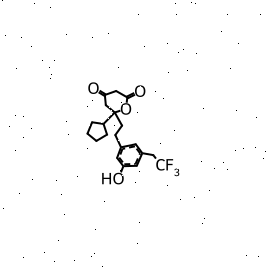 O=C1CC(=O)OC(CCc2cc(O)cc(CC(F)(F)F)c2)(C2CCCC2)C1